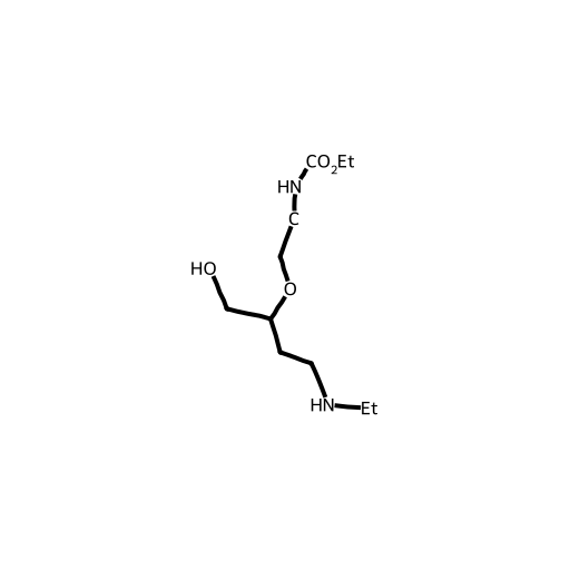 CCNCCC(CO)OCCNC(=O)OCC